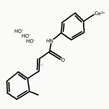 Cc1ccccc1/C=C/C(=O)Nc1cc[c]([Ge+3])cc1.[OH-].[OH-].[OH-]